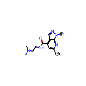 CC(C)n1ncc2c(C(=O)NCCN(C)C)cc(C(C)(C)C)nc21